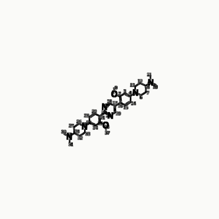 COc1cc(N2CCC(N(C)C)CC2)ccc1-c1cnc(-c2ccc(N3CCC(N(C)C)CC3)cc2OC)nc1